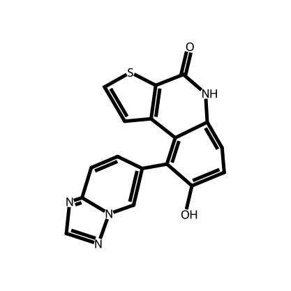 O=c1[nH]c2ccc(O)c(-c3ccc4ncnn4c3)c2c2ccsc12